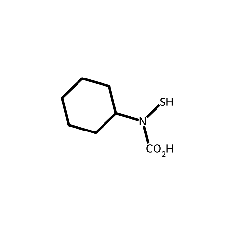 O=C(O)N(S)C1CCCCC1